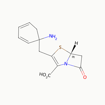 NC1(CC2=C(C(=O)O)N3C(=O)C[C@H]3S2)C=CC=CC1